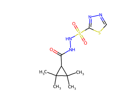 CC1(C)C(C(=O)NNS(=O)(=O)c2nncs2)C1(C)C